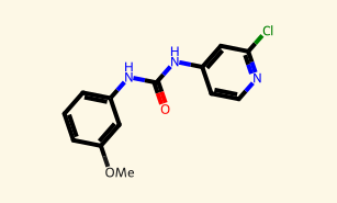 COc1cccc(NC(=O)Nc2ccnc(Cl)c2)c1